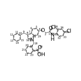 O=C(COc1ccc2c(Cc3ccccc3)cn(Cc3ccccc3C(=O)O)c2c1)Nc1ccc(Cl)cc1Cl